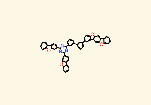 c1cc(-c2cccc(-c3nc(-c4ccc5c(c4)oc4ccccc45)nc(-c4ccc5c(c4)oc4ccccc45)n3)c2)cc(-c2ccc3oc4cc5c(cc4c3c2)oc2ccccc25)c1